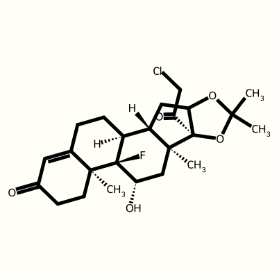 CC1(C)OC2C[C@H]3[C@@H]4CCC5=CC(=O)CC[C@]5(C)[C@@]4(F)[C@@H](O)C[C@]3(C)[C@]2(C(=O)CCl)O1